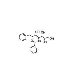 OCC(O)C(O)C(O)C(O)C(Cc1ccccc1)OCc1ccccc1